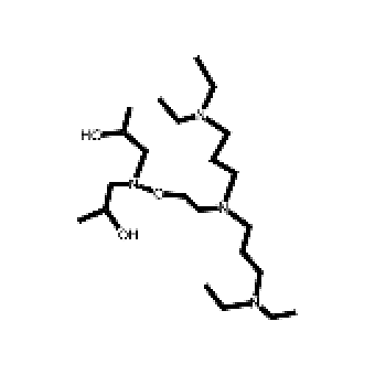 CCN(CC)CCCN(CCCN(CC)CC)CCCN(CC(C)O)CC(C)O